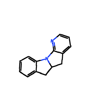 c1ccc2c(c1)CC1Cc3cccnc3N21